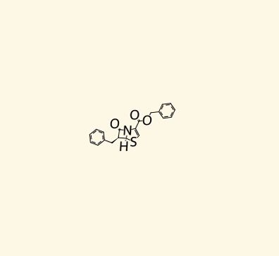 O=C(OCc1ccccc1)C1=CS[C@H]2[C@@H](Cc3ccccc3)C(=O)N12